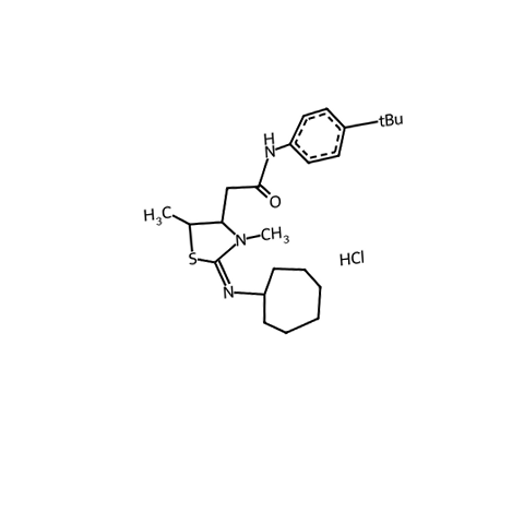 CC1SC(=NC2CCCCCC2)N(C)C1CC(=O)Nc1ccc(C(C)(C)C)cc1.Cl